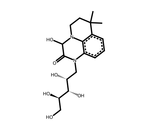 CC1(C)CCN2c3c(cccc31)N(C[C@@H](O)[C@H](O)[C@H](O)CO)C(=O)C2O